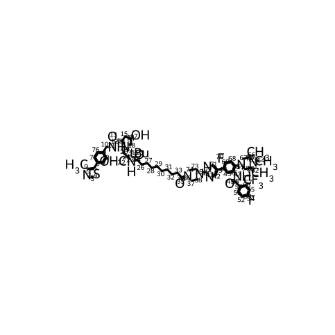 Cc1ncsc1-c1ccc(CNC(=O)[C@@H]2C[C@H](O)CN2CC(C=O)(NC(=O)CCCCCCCCC(=O)N2CCN(c3ncc(-c4cc(NC(=O)c5ccc(F)cc5C(F)(F)F)c(N5C[C@@H](C)N(C)[C@@H](C)C5)cc4F)cn3)CC2)C(C)(C)C)cc1